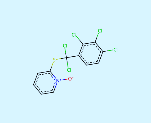 [O-][n+]1ccccc1SC(Cl)(Cl)c1ccc(Cl)c(Cl)c1Cl